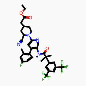 CCOC(=O)CC1CCN(c2cc(-c3ccc(F)cc3C)c(N(C)C(=O)C(C)(C)c3cc(C(F)(F)F)cc(C(F)(F)F)c3)cn2)C(C#N)C1